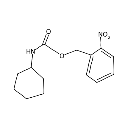 O=C(NC1CCCCC1)OCc1ccccc1[N+](=O)[O-]